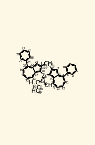 Cc1cc2c(-c3ccccc3)ccccc-2[c]1[Zr]([c]1c(C)cc2c(-c3ccccc3)ccccc1-2)=[Si](C)C.Cl.Cl